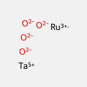 [O-2].[O-2].[O-2].[O-2].[Ru+3].[Ta+5]